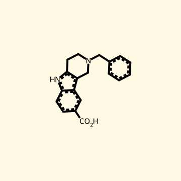 O=C(O)c1ccc2[nH]c3c(c2c1)CN(Cc1ccccc1)CC3